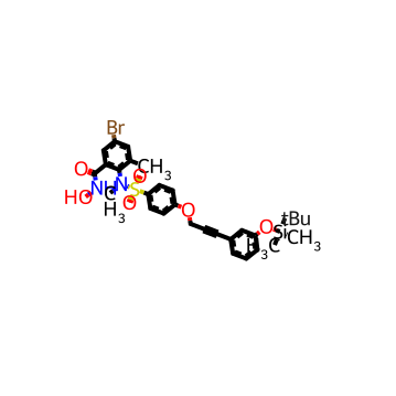 Cc1cc(Br)cc(C(=O)NO)c1N(C)S(=O)(=O)c1ccc(OCC#Cc2cccc(O[Si](C)(C)C(C)(C)C)c2)cc1